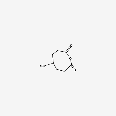 CCCCC1CCC(=O)OC(=O)CC1